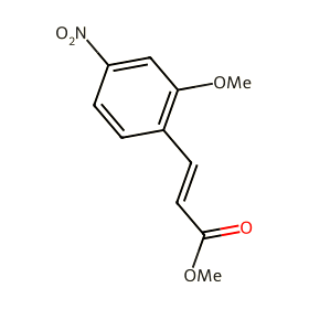 COC(=O)C=Cc1ccc([N+](=O)[O-])cc1OC